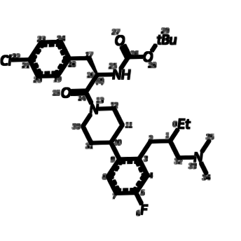 CCC(Cc1cc(F)ccc1C1CCN(C(=O)[C@@H](Cc2ccc(Cl)cc2)NC(=O)OC(C)(C)C)CC1)CN(C)C